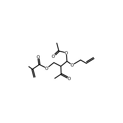 C=CCOC(OC(C)=O)C(COC(=O)C(=C)C)C(C)=O